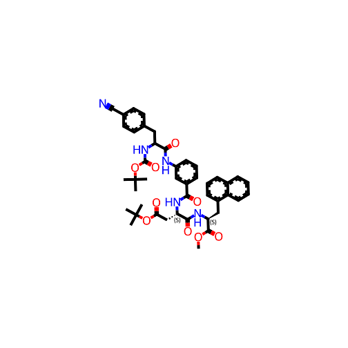 COC(=O)[C@H](Cc1cccc2ccccc12)NC(=O)[C@H](CC(=O)OC(C)(C)C)NC(=O)c1cccc(NC(=O)C(Cc2ccc(C#N)cc2)NC(=O)OC(C)(C)C)c1